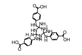 NC1(Nc2ccc(C(=O)O)cc2)NC(N)(Nc2ccc(C(=O)O)cc2)NC(N)(Nc2ccc(C(=O)O)cc2)N1